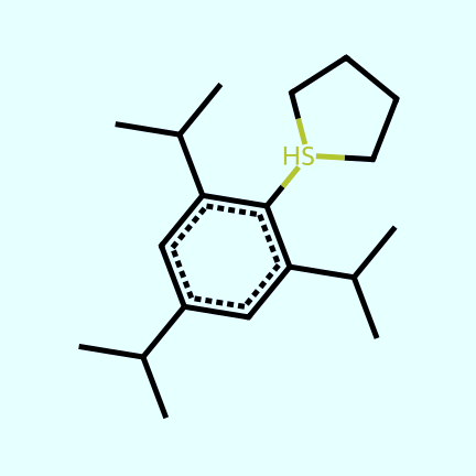 CC(C)c1cc(C(C)C)c([SH]2CCCC2)c(C(C)C)c1